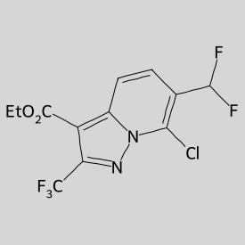 CCOC(=O)c1c(C(F)(F)F)nn2c(Cl)c(C(F)F)ccc12